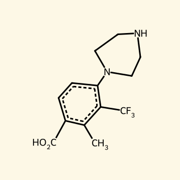 Cc1c(C(=O)O)ccc(N2CCNCC2)c1C(F)(F)F